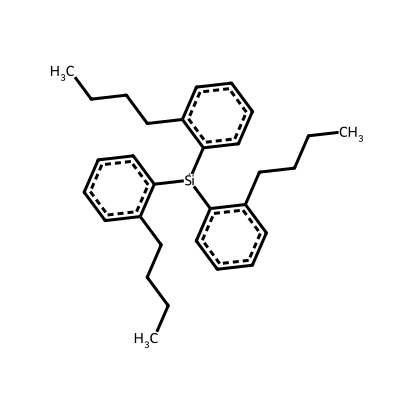 CCCCc1ccccc1[Si](c1ccccc1CCCC)c1ccccc1CCCC